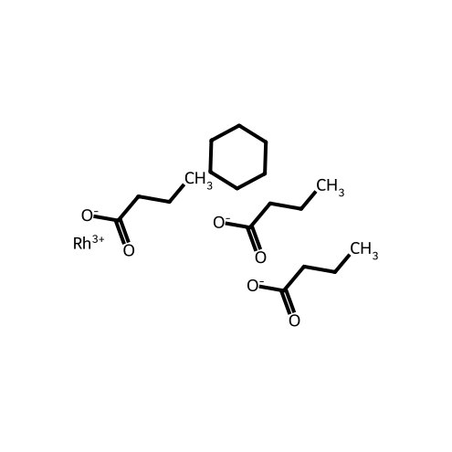 C1CCCCC1.CCCC(=O)[O-].CCCC(=O)[O-].CCCC(=O)[O-].[Rh+3]